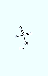 O=S(=O)(O)F.[Tm]